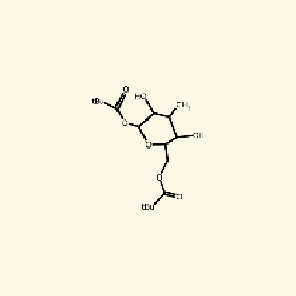 CC1C(O)C(COC(=O)C(C)(C)C)OC(OC(=O)C(C)(C)C)C1O